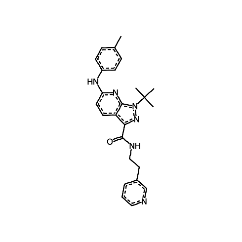 Cc1ccc(Nc2ccc3c(C(=O)NCCc4cccnc4)nn(C(C)(C)C)c3n2)cc1